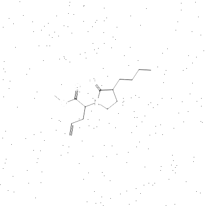 C=CCC(C(=O)OC)N1CCC(CCCC)C1=O